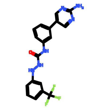 Nc1ncc(-c2cccc(NC(=O)NNc3cccc(C(F)(F)F)c3)c2)cn1